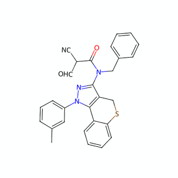 Cc1cccc(-n2nc(N(Cc3ccccc3)C(=O)C(C#N)C=O)c3c2-c2ccccc2SC3)c1